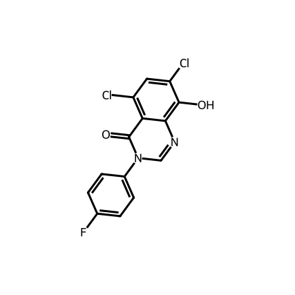 O=c1c2c(Cl)cc(Cl)c(O)c2ncn1-c1ccc(F)cc1